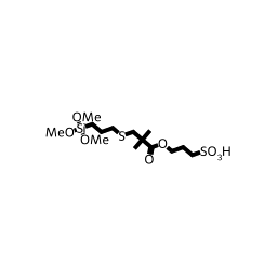 CO[Si](CCCSCC(C)(C)C(=O)OCCCS(=O)(=O)O)(OC)OC